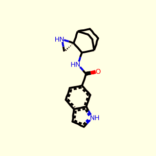 O=C(NC1C2CCC(CC2)[C@@]12CN2)c1ccc2cc[nH]c2c1